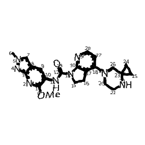 COc1nc2nn(C)cc2cc1NC(=O)N1CCc2c(N3CCNC4(CC4)C3)ccnc21